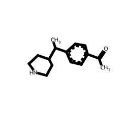 CC(=O)c1ccc(C(C)C2CCNCC2)cc1